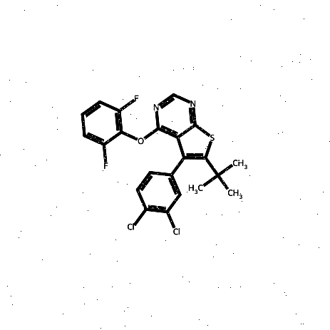 CC(C)(C)c1sc2ncnc(Oc3c(F)cccc3F)c2c1-c1ccc(Cl)c(Cl)c1